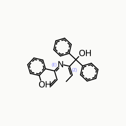 C=C/C(=N\C(=C/C)C(O)(c1ccccc1)c1ccccc1)c1ccccc1O